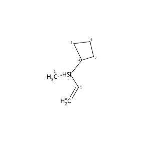 C=C[SiH](C)C1CCC1